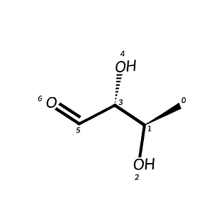 C[C@@H](O)[C@@H](O)C=O